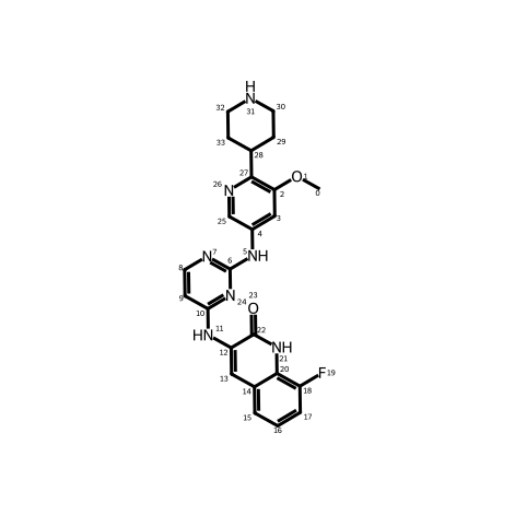 COc1cc(Nc2nccc(Nc3cc4cccc(F)c4[nH]c3=O)n2)cnc1C1CCNCC1